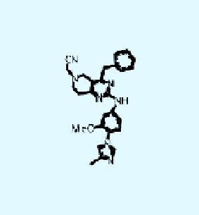 COc1cc(Nc2nc3c(c(Cc4ccccc4)n2)CN(CC#N)CC3)ccc1-n1cnc(C)c1